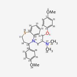 COc1ccc(OCC(CN2c3ccccc3SCCC2c2ccc(OC)cc2)N(C)C)cc1